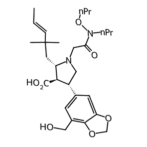 C/C=C/C(C)(C)C[C@H]1[C@H](C(=O)O)[C@@H](c2cc(CO)c3c(c2)OCO3)CN1CC(=O)N(CCC)OCCC